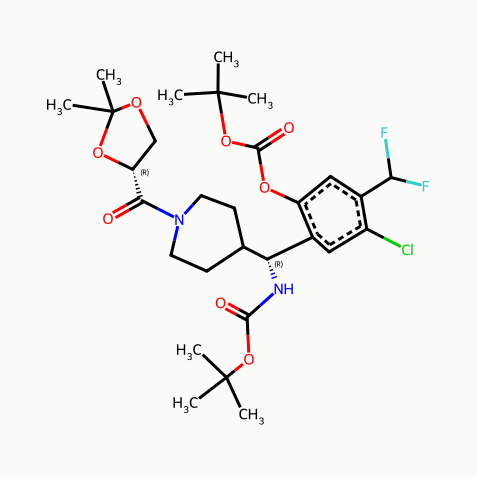 CC(C)(C)OC(=O)N[C@@H](c1cc(Cl)c(C(F)F)cc1OC(=O)OC(C)(C)C)C1CCN(C(=O)[C@H]2COC(C)(C)O2)CC1